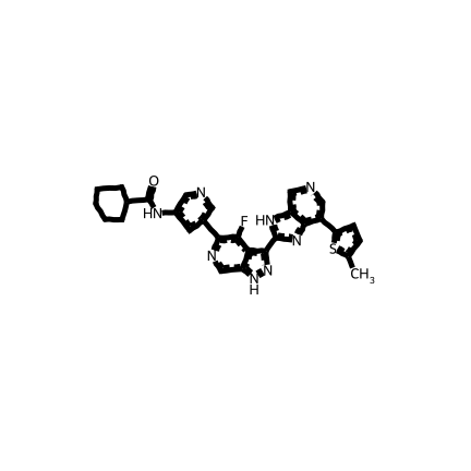 Cc1ccc(-c2cncc3[nH]c(-c4n[nH]c5cnc(-c6cncc(NC(=O)C7CCCCC7)c6)c(F)c45)nc23)s1